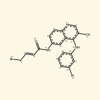 N#Cc1cnc2ccc(NC(=O)/C=C/CBr)cc2c1Nc1cccc(Br)c1